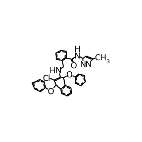 CC1=CC(NC(=O)c2ccccc2CNC2=C(Cl)C(Oc3ccccc3)c3ccccc3C2Oc2ccccc2)N=N1